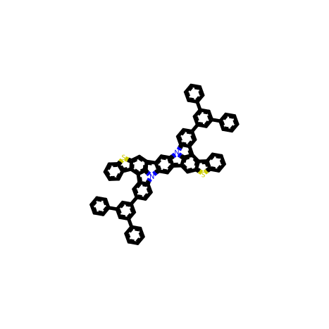 c1ccc(-c2cc(-c3ccccc3)cc(-c3ccc4c(c3)c3c5c(cc6c7cc8c(cc7n4c63)c3cc4sc6ccccc6c4c4c6cc(-c7cc(-c9ccccc9)cc(-c9ccccc9)c7)ccc6n8c34)sc3ccccc35)c2)cc1